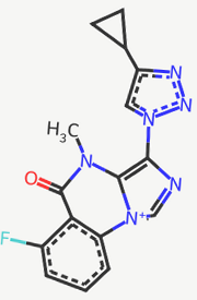 CN1C(=O)c2c(F)cccc2[N+]2C=NC(n3cc(C4CC4)nn3)=C12